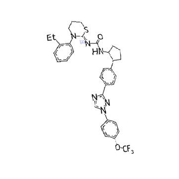 CCc1ccccc1N1CCCS/C1=N\C(=O)NC1CCCC1c1ccc(-c2ncn(-c3ccc(OC(F)(F)F)cc3)n2)cc1